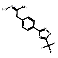 N/C(Cc1ccc(-c2noc(C(F)(F)F)n2)cc1)=N/O